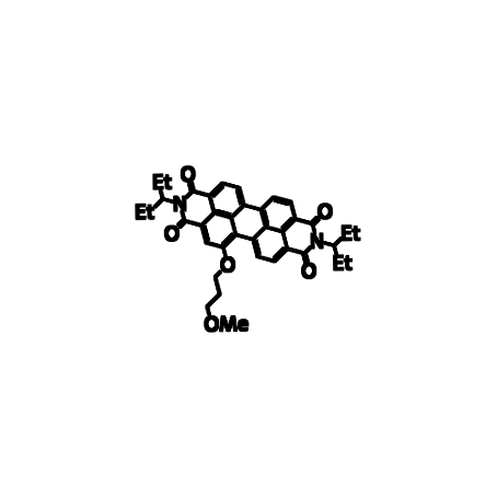 CCC(CC)N1C(=O)c2ccc3c4ccc5c6c(cc(OCCCOC)c(c7ccc(c2c37)C1=O)c64)C(=O)N(C(CC)CC)C5=O